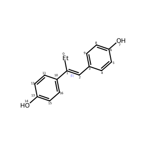 CC/C(=C\c1ccc(O)cc1)c1ccc(O)cc1